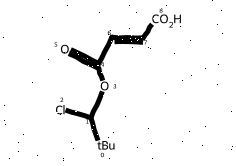 CC(C)(C)C(Cl)OC(=O)/C=C/C(=O)O